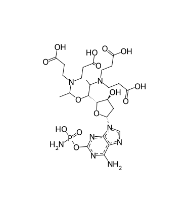 CC(OC(C(C)N(CCC(=O)O)CCC(=O)O)[C@H]1O[C@@H](n2cnc3c(N)nc(OP(N)(=O)O)nc32)C[C@@H]1O)N(CCC(=O)O)CCC(=O)O